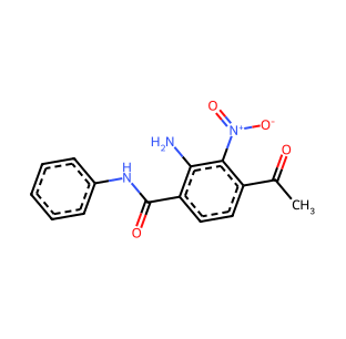 CC(=O)c1ccc(C(=O)Nc2ccccc2)c(N)c1[N+](=O)[O-]